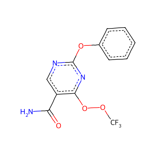 NC(=O)c1cnc(Oc2ccccc2)nc1OOC(F)(F)F